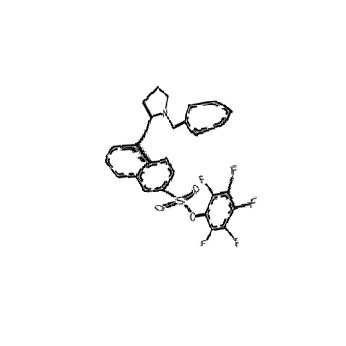 O=S(=O)(Oc1c(F)c(F)c(F)c(F)c1F)c1ccc2c(C3CCCN3Cc3ccccc3)cccc2c1